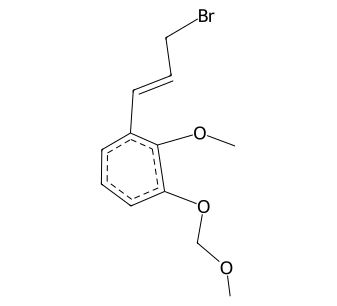 COCOc1cccc(C=CCBr)c1OC